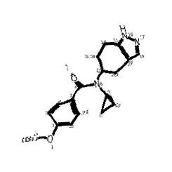 CC(C)(C)Oc1ccc(C(=O)N(C2CC2)C2CCc3[nH]ncc3C2)cc1